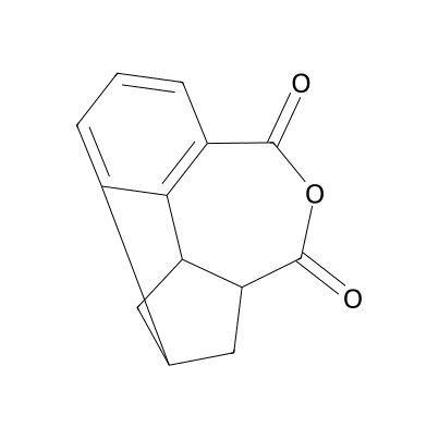 O=C1OC(=O)C2CC3CC2c2c1cccc23